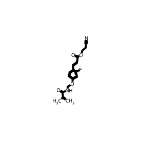 C=C(C)C(=O)NCOc1ccc(/C=C/C(=O)OCCC#N)c(F)c1